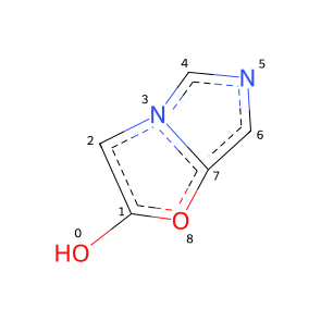 Oc1cn2cncc2o1